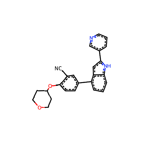 N#Cc1cc(-c2cccc3[nH]c(-c4cccnc4)cc23)ccc1OC1CCOCC1